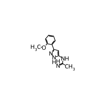 COc1ccccc1-c1cc(NC(C)=N)[nH]n1